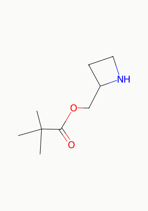 CC(C)(C)C(=O)OCC1CCN1